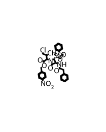 C=C(CCl)C(C(=O)OCc1ccc([N+](=O)[O-])cc1)N1C(=O)C(NC(=O)Cc2ccccc2)C1SS(=O)(=O)c1ccccc1